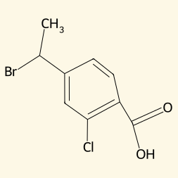 CC(Br)c1ccc(C(=O)O)c(Cl)c1